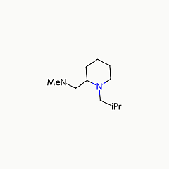 CNCC1CCCCN1CC(C)C